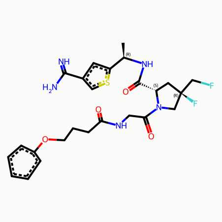 C[C@@H](NC(=O)[C@@H]1C[C@](F)(CF)CN1C(=O)CNC(=O)CCCOc1ccccc1)c1cc(C(=N)N)cs1